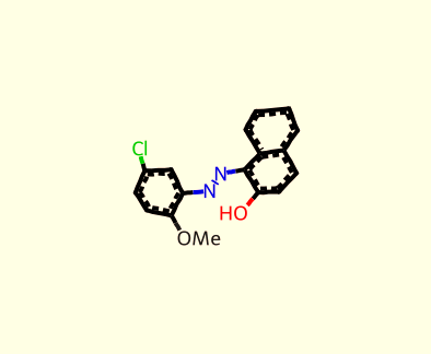 COc1ccc(Cl)cc1N=Nc1c(O)ccc2ccccc12